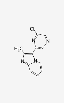 Cc1nc2ccccn2c1-c1cncc(Cl)n1